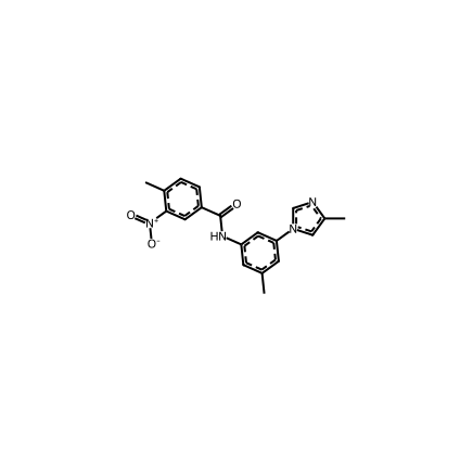 Cc1cc(NC(=O)c2ccc(C)c([N+](=O)[O-])c2)cc(-n2cnc(C)c2)c1